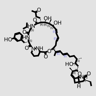 CC[C@H]1C[C@@H]2CC3=C[C@@H](C)[C@H](C[C@H](O)[C@@H](C)CC/C=C/C=C(\C)[C@@H]4C/C=C/C=C/[C@H](O)[C@H](C)[C@@H](O)[C@@H](CCC(C)=O)C(=O)N[C@@H](C(C)C)C(=O)N[C@@H](Cc5cccc(O)c5)C(=O)N5CCCC(N5)C(=O)O4)O[C@@]32NC1=O